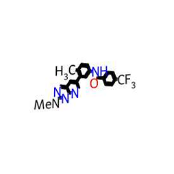 CNc1ncc2cc(-c3cc(NC(=O)c4ccc(C(F)(F)F)cc4)ccc3C)cnc2n1